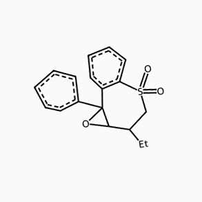 CCC1CS(=O)(=O)c2ccccc2C2(c3ccccc3)OC12